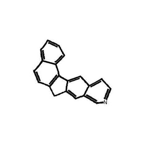 c1ccc2c3c(ccc2c1)Cc1cc2cnccc2cc1-3